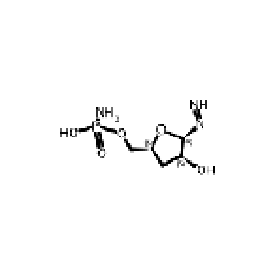 N=N[C@@H]1O[C@H](COP(N)(=O)O)C[C@@H]1O